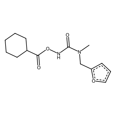 CN(Cc1ccco1)C(=O)NOC(=O)C1CCCCC1